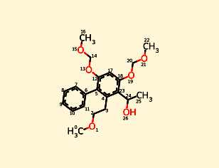 COCCc1c(-c2ccccc2)c(OCOC)cc(OCOC)c1C(C)O